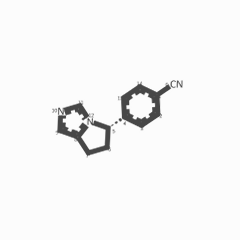 N#Cc1ccc([C@@H]2CCc3cncn32)cc1